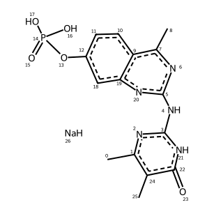 Cc1nc(Nc2nc(C)c3ccc(OP(=O)(O)O)cc3n2)[nH]c(=O)c1C.[NaH]